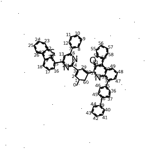 CC1C=C(c2nc(-c3ccccc3)cc(-c3cccc4c3sc3ccccc34)n2)C=C(c2nc3c(-c4ccc(-c5ccccc5)cc4)cccc3c3c2oc2ccccc23)C1